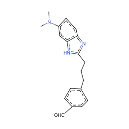 CN(C)c1ccc2nc(CCCc3ccc(C=O)cc3)[nH]c2c1